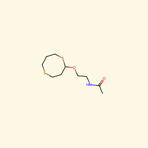 CC(=O)NCCOC1CCSCCCS1